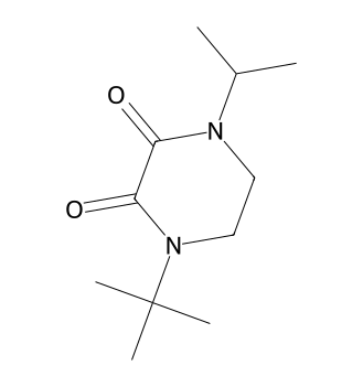 CC(C)N1CCN(C(C)(C)C)C(=O)C1=O